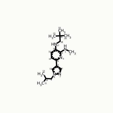 CNc1nc(-c2cnn(CC(C)C)c2)ccc1NCC(C)(C)C